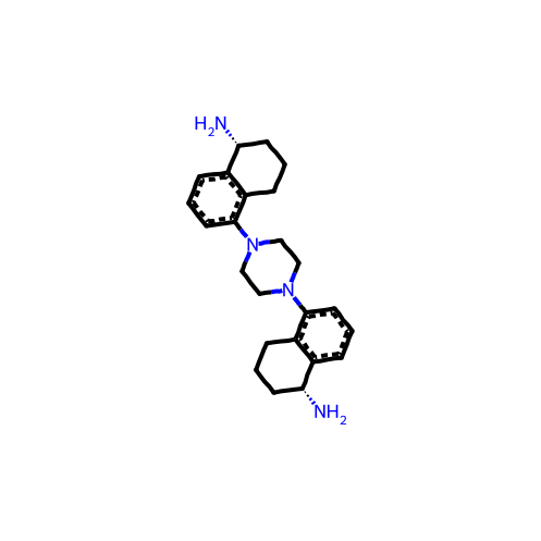 N[C@@H]1CCCc2c1cccc2N1CCN(c2cccc3c2CCC[C@H]3N)CC1